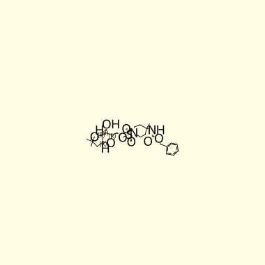 CC1(NC(=O)OCc2ccccc2)CCN(S(=O)(=O)OC[C@H]2O[C@@H]3CC(C)(C)O[C@@H]3[C@H]2O)CC1